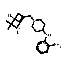 C[C@@H]1C2=C(CN3CCC(Nc4ccccc4N)CC3)C[C@H]2C1(C)C